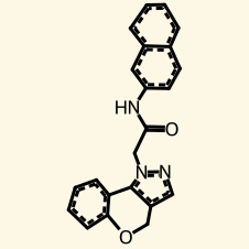 O=C(Cn1ncc2c1-c1ccccc1OC2)Nc1ccc2ccccc2c1